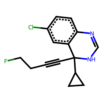 FCCC#CC1(C2CC2)NC=Nc2ccc(Cl)cc21